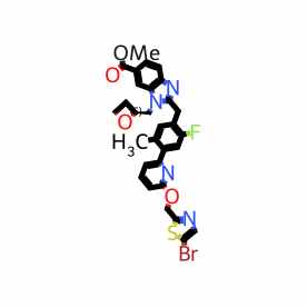 COC(=O)c1ccc2nc(Cc3cc(C)c(-c4cccc(OCc5ncc(Br)s5)n4)cc3F)n(C[C@@H]3CCO3)c2c1